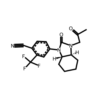 CC(=O)CN1C(=O)N(c2ccc(C#N)c(C(F)(F)F)c2)[C@H]2CCCC[C@@H]21